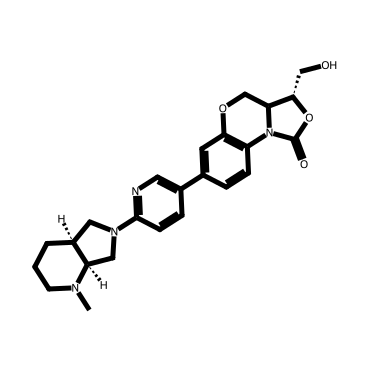 CN1CCC[C@H]2CN(c3ccc(-c4ccc5c(c4)OCC4[C@H](CO)OC(=O)N54)cn3)C[C@H]21